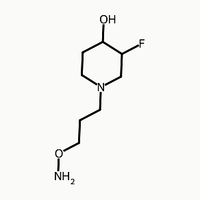 NOCCCN1CCC(O)C(F)C1